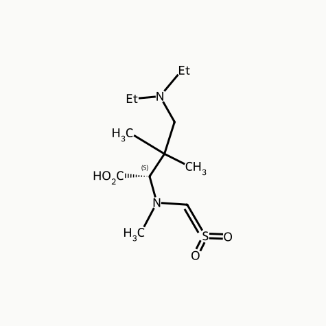 CCN(CC)CC(C)(C)[C@@H](C(=O)O)N(C)C=S(=O)=O